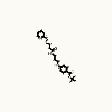 CC(C)(C)OC(=O)c1ccc(NCCCNC(=O)CCSSc2ccccn2)cc1